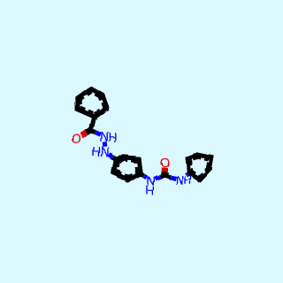 O=C(Nc1ccccc1)Nc1ccc(NNC(=O)c2ccccc2)cc1